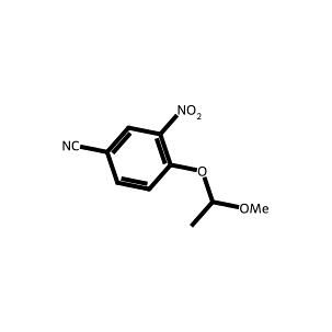 COC(C)Oc1ccc(C#N)cc1[N+](=O)[O-]